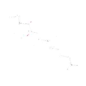 C=C(C)NCCNC(=O)[C@H](O)[C@@H](O)[C@@H](O)[C@H](O)C(=O)NC(C)(C)C